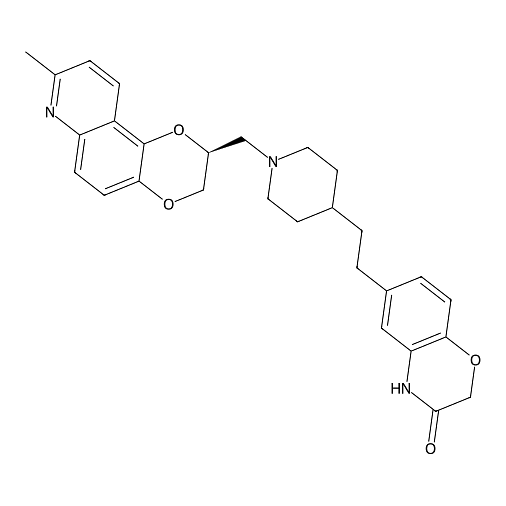 Cc1ccc2c3c(ccc2n1)OC[C@H](CN1CCC(CCc2ccc4c(c2)NC(=O)CO4)CC1)O3